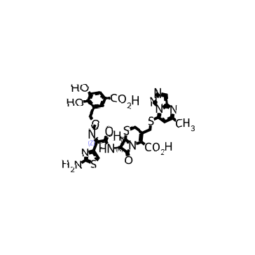 Cc1cc(SCC2=C(C(=O)O)N3C(=O)[C@@H](NC(=O)/C(=N\OCc4cc(C(=O)O)cc(O)c4O)c4csc(N)n4)[C@H]3SC2)n2nncc2n1